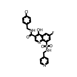 O=C(NCc1ccc(Cl)cc1)c1cnc2c(S(=O)(=O)NCc3ccncc3)cc(F)cc2c1O